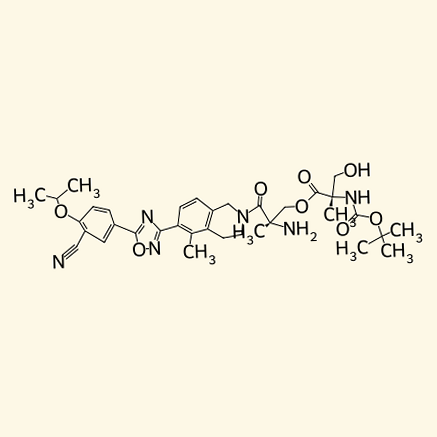 Cc1c(-c2noc(-c3ccc(OC(C)C)c(C#N)c3)n2)ccc2c1CCN(C(=O)[C@@](C)(N)COC(=O)[C@](C)(CO)NC(=O)OC(C)(C)C)C2